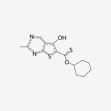 Cc1ncc2c(O)c(C(=S)OC3CCCCC3)sc2n1